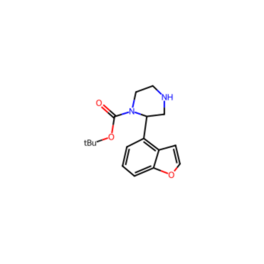 CC(C)(C)OC(=O)N1CCNCC1c1cccc2occc12